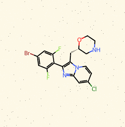 Fc1cc(Br)cc(F)c1-c1nc2cc(Cl)ccn2c1C[C@H]1CNCCO1